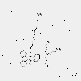 CCCCCCCCCCCCCCCC(c1ccccc1)C(C(=O)[O-])(c1ccccc1)c1ccccc1.CCC[CH2][Sn+]([CH2]CCC)[CH2]CCC